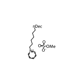 CCCCCCCCCCCCCCCC[n+]1ccccc1.COS(=O)(=O)[O-]